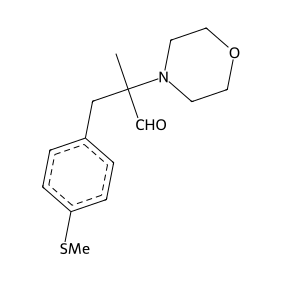 CSc1ccc(CC(C)(C=O)N2CCOCC2)cc1